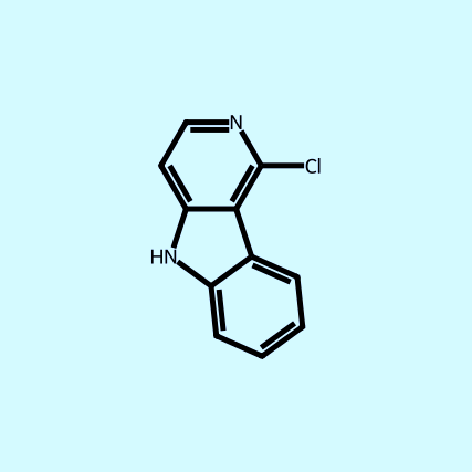 Clc1nccc2[nH]c3ccccc3c12